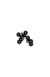 Ic1c(N(c2ccccc2)c2ccc3ccccc3c2)nc2ccccc2c1-c1ccc2c(c1)oc1c3ccccc3ccc21